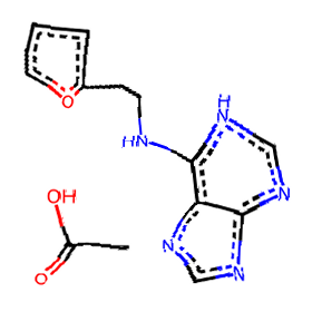 CC(=O)O.c1coc(CNc2[nH]cnc3ncnc2-3)c1